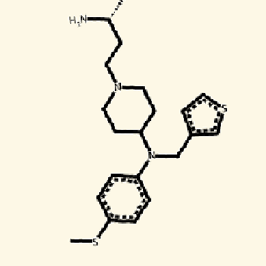 CSc1ccc(N(Cc2ccsc2)C2CCN(CC[C@@H](C)N)CC2)cc1